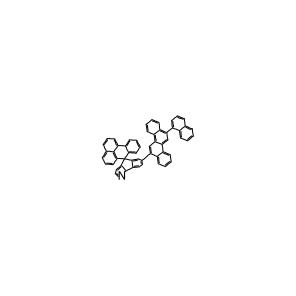 c1ccc2c(c1)-c1cccc3cccc(c13)C21c2cc(-c3cc4c5ccccc5c(-c5cccc6ccccc56)cc4c4ccccc34)ccc2-c2ncccc21